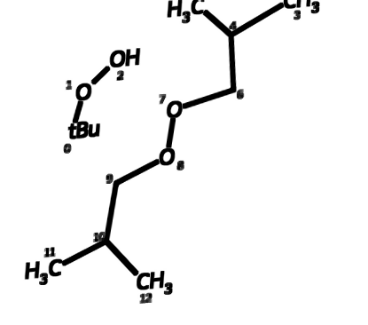 CC(C)(C)OO.CC(C)COOCC(C)C